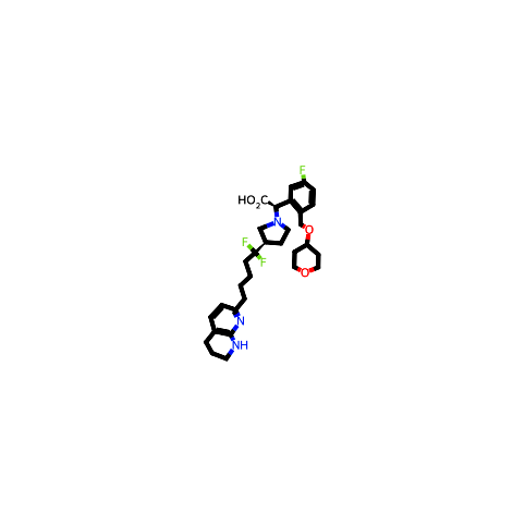 O=C(O)[C@@H](c1cc(F)ccc1COC1CCOCC1)N1CC[C@@H](C(F)(F)CCCCc2ccc3c(n2)NCCC3)C1